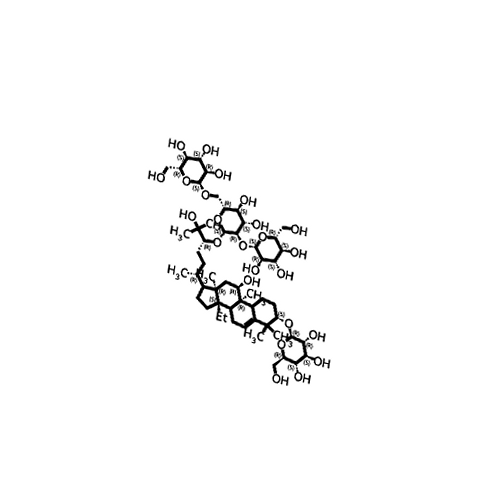 CC[C@@]12CCC([C@H](C)CC[C@@H](O[C@@H]3O[C@H](CO[C@H]4O[C@H](CO)[C@@H](O)[C@H](O)[C@H]4O)[C@@H](O)[C@H](O)[C@H]3O[C@@H]3O[C@H](CO)[C@@H](O)[C@H](O)[C@H]3O)C(C)(C)O)[C@@]1(C)C[C@@H](O)[C@@]1(C)C3CC[C@H](O[C@@H]4O[C@H](CO)[C@@H](O)[C@H](O)[C@H]4O)C(C)(C)C3=CCC12